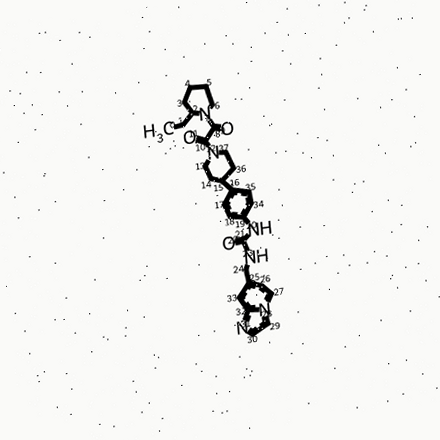 CCC1CCCCN1C(=O)C(=O)N1CCC(c2ccc(NC(=O)NCc3ccn4ccnc4c3)cc2)CC1